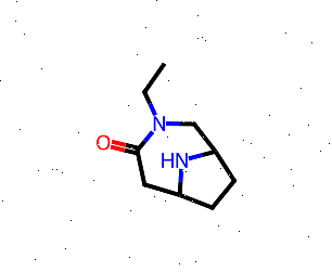 CCN1CC2CCC(CC1=O)N2